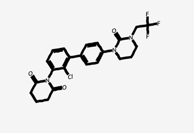 O=C1N(CC(F)(F)F)CCCN1c1ccc(-c2cccc(N3C(=O)CCCC3=O)c2Cl)cc1